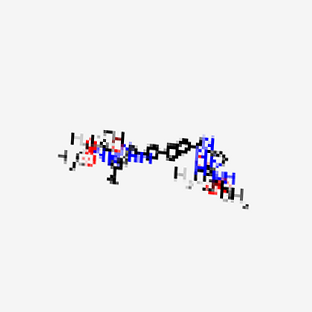 COC(=O)N[C@H](C(=O)N1CC(C2CC2)=C[C@H]1c1ncc(-c2ccc(-c3ccc4cc(-c5cnc([C@@H]6CCCN6C(=O)[C@@H](NC(=O)OC)C(C)C)[nH]5)ccc4c3)cc2)[nH]1)C(C)C